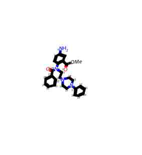 COC(=O)c1cc(N)ccc1N(CCN1CCN(c2ccccc2)CC1)C(=O)c1ccccc1